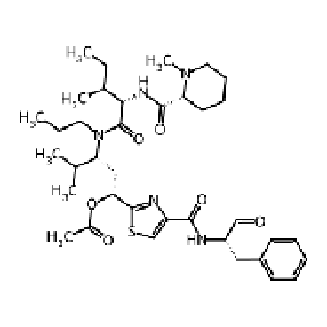 CCCN(C(=O)[C@@H](NC(=O)[C@H]1CCCCN1C)[C@@H](C)CC)[C@H](C[C@@H](OC(C)=O)c1nc(C(=O)N[C@H](C=O)Cc2ccccc2)cs1)C(C)C